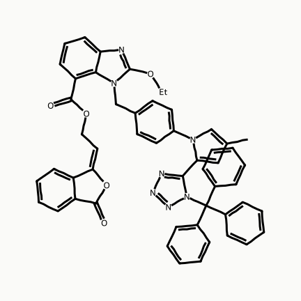 CCOc1nc2cccc(C(=O)OCC=C3OC(=O)c4ccccc43)c2n1Cc1ccc(-n2cc(C)cc2-c2nnnn2C(c2ccccc2)(c2ccccc2)c2ccccc2)cc1